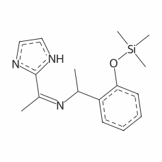 CC(=NC(C)c1ccccc1O[Si](C)(C)C)c1ncc[nH]1